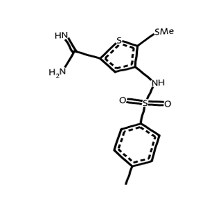 CSc1sc(C(=N)N)cc1NS(=O)(=O)c1ccc(C)cc1